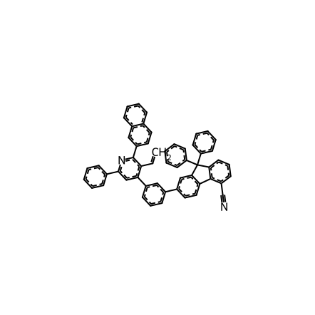 C=Cc1c(-c2cccc(-c3ccc4c(c3)C(c3ccccc3)(c3ccccc3)c3cccc(C#N)c3-4)c2)cc(-c2ccccc2)nc1-c1ccc2ccccc2c1